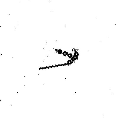 CCCCCCCCCCCCCCCCCCOc1ccc(S(=O)(=O)c2cnc3ccc([S+](C)[O-])cc3c2N2CCC(N3CCC(N4CCN(CC)CC4)CC3)CC2)cc1